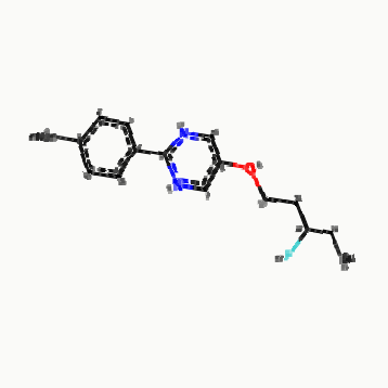 CCCCCCCCCc1ccc(-c2ncc(OCCC(F)CC(C)CC)cn2)cc1